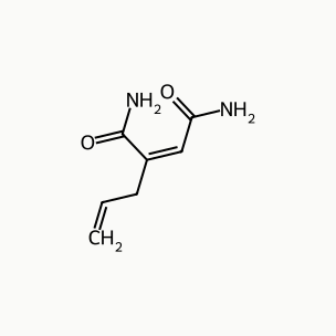 C=CCC(=CC(N)=O)C(N)=O